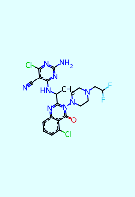 CC(Nc1nc(N)nc(Cl)c1C#N)c1nc2cccc(Cl)c2c(=O)n1N1CCN(CC(F)F)CC1